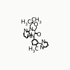 Cc1ccc(NC(=O)[C@@H]2COC(C)(C)CN2c2ncccn2)cc1-c1ncccn1